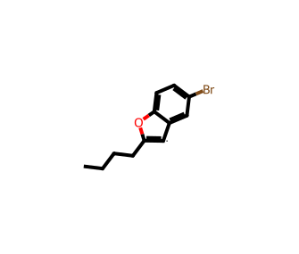 CCCCc1[c]c2cc(Br)ccc2o1